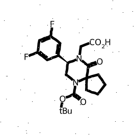 CC(C)(C)OC(=O)N1C[C@@H](c2cc(F)cc(F)c2)N(CC(=O)O)C(=O)C12CCCC2